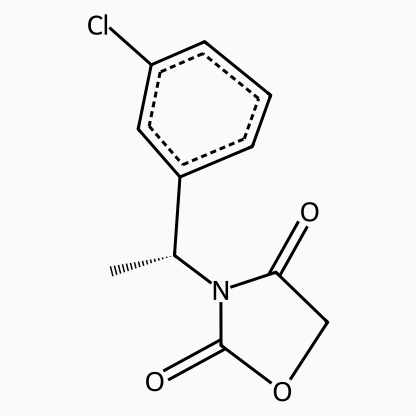 C[C@H](c1cccc(Cl)c1)N1C(=O)COC1=O